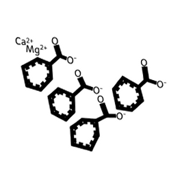 O=C([O-])c1ccccc1.O=C([O-])c1ccccc1.O=C([O-])c1ccccc1.O=C([O-])c1ccccc1.[Ca+2].[Mg+2]